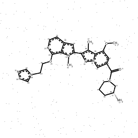 COc1cc(C(=O)N2CCC[C@@H](N)C2)cn2nc(-c3cc4ccnc(OCCn5cnnc5)c4n3C)c(C)c12